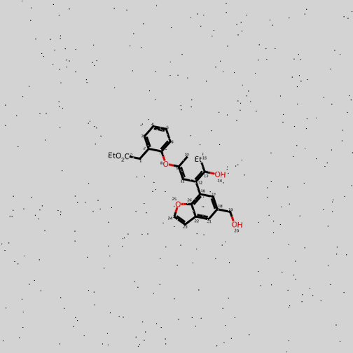 CCOC(=O)Cc1ccccc1O/C(C)=C/C(=C(/O)CC)c1cc(CO)cc2ccoc12